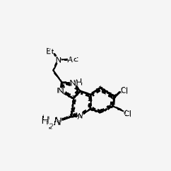 CCN(Cc1nc2c(N)nc3cc(Cl)c(Cl)cc3c2[nH]1)C(C)=O